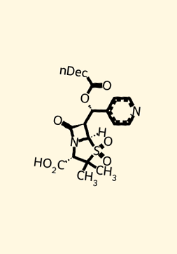 CCCCCCCCCCC(=O)O[C@H](c1ccncc1)[C@@H]1C(=O)N2[C@@H](C(=O)O)C(C)(C)S(=O)(=O)[C@H]12